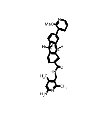 COc1ncccc1-c1ccc2c(c1)[C@H]1O[C@@H]2c2ccc(C(=O)NCc3c(C)cc(N)nc3C)cc21